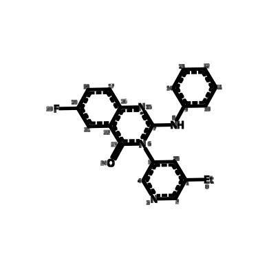 CCc1cncc(-n2c(Nc3ccccc3)nc3ccc(F)cc3c2=O)c1